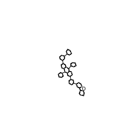 c1ccc(-c2cccc(-c3ccc4c(-c5ccccc5)c5cc(-c6cccc(-c7ccc8oc9ccccc9c8c7)c6)ccc5c(-c5ccccc5)c4c3)c2)cc1